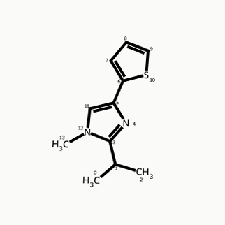 CC(C)c1nc(-c2cccs2)cn1C